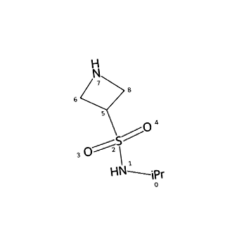 CC(C)NS(=O)(=O)C1CNC1